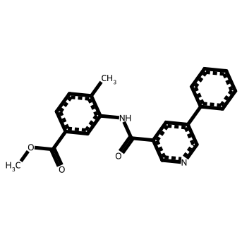 COC(=O)c1ccc(C)c(NC(=O)c2cncc(-c3ccccc3)c2)c1